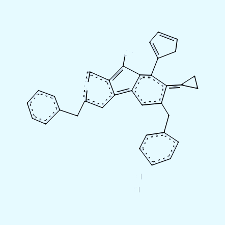 [Cl-].[Cl-].[Zr+2][C]1=c2ccc(Cc3ccccc3)cc2=c2cc(Cc3ccccc3)c(=C3CC3)c(C3=CC=CC3)c21